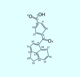 O=C(O)c1ccc(C(=O)c2ccc3c4c(cccc24)CC3)cc1